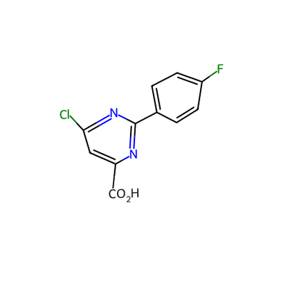 O=C(O)c1cc(Cl)nc(-c2ccc(F)cc2)n1